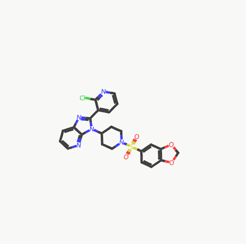 O=S(=O)(c1ccc2c(c1)OCO2)N1CCC(n2c(-c3cccnc3Cl)nc3cccnc32)CC1